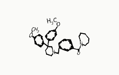 COc1ccc(C2(c3ccc(OC)cc3)CCCN(Cc3cccc(C(=O)N4CCCCCC4)c3)C2)cc1